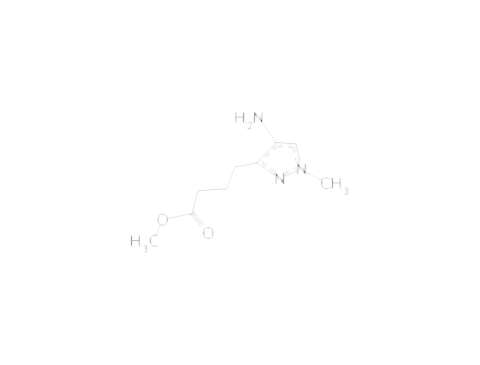 COC(=O)CCCc1nn(C)cc1N